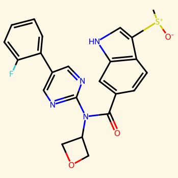 C[S+]([O-])c1c[nH]c2cc(C(=O)N(c3ncc(-c4ccccc4F)cn3)C3COC3)ccc12